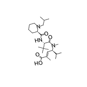 C/C(=C\[C@H](C(C)C)N(C)C(=O)[C@@H](NC(=O)[C@H]1CCCCN1CC(C)C)C(C)(C)C)C(=O)O